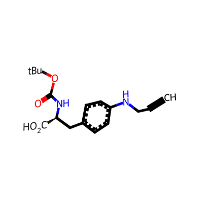 C#CCNc1ccc(C[C@H](NC(=O)OC(C)(C)C)C(=O)O)cc1